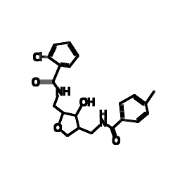 Cc1ccc(C(=O)NCC2COC(CNC(=O)c3ccccc3Cl)C2O)cc1